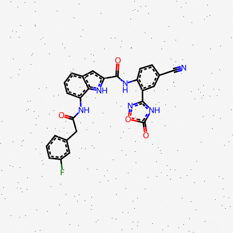 N#Cc1ccc(NC(=O)c2cc3cccc(NC(=O)Cc4cccc(F)c4)c3[nH]2)c(-c2noc(=O)[nH]2)c1